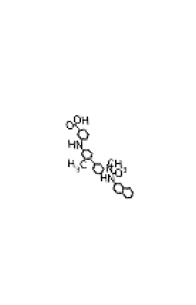 Cc1cc(Nc2cccc(C(=O)O)c2)ccc1-c1cccc(N(C)C(=O)Nc2ccc3ccccc3c2)c1